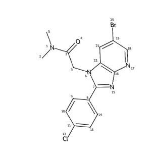 CN(C)C(=O)Cn1c(-c2ccc(Cl)cc2)nc2ncc(Br)cc21